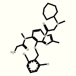 CC1=C[N+]2(C(=O)CN(C)C3CCCCCC3)C=CC(N(C)C(=O)CN)=C(OCc3c(Cl)cccc3Cl)C2=N1